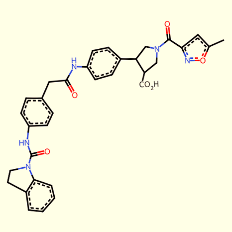 Cc1cc(C(=O)N2CC(C(=O)O)C(c3ccc(NC(=O)Cc4ccc(NC(=O)N5CCc6ccccc65)cc4)cc3)C2)no1